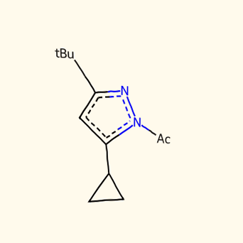 CC(=O)n1nc(C(C)(C)C)cc1C1CC1